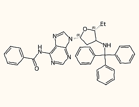 CC[C@H]1O[C@@H](n2cnc3c(NC(=O)c4ccccc4)ncnc32)CC1NC(c1ccccc1)(c1ccccc1)c1ccccc1